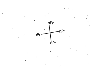 CCCC(CCC)(CCC)CCC